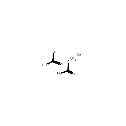 O.O=C([O-])O.O=C([O-])O.[Ca+2]